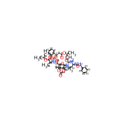 CC(C)OC(=O)CCc1ccccc1OP(=O)(N[C@@H](C)C(=O)OC(C)C)OC[C@H]1O[C@@H](n2ccc(NOCc3ccccc3)nc2=O)[C@]2(C)OC(=O)O[C@H]12